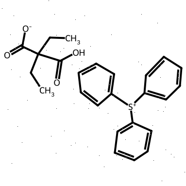 CCC(CC)(C(=O)[O-])C(=O)O.c1ccc([S+](c2ccccc2)c2ccccc2)cc1